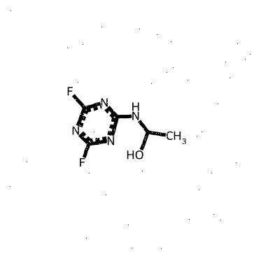 CC(O)Nc1nc(F)nc(F)n1